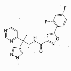 Cn1cc(C(C)(CNC(=O)c2cc(-c3ccc(F)cc3F)on2)c2ccncn2)cn1